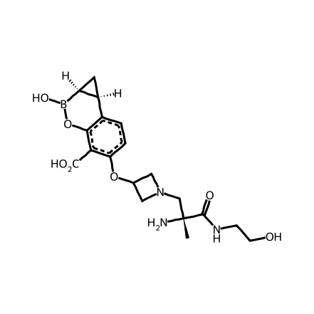 C[C@@](N)(CN1CC(Oc2ccc3c(c2C(=O)O)OB(O)[C@H]2C[C@@H]32)C1)C(=O)NCCO